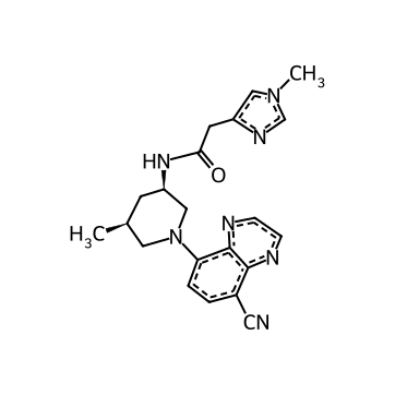 C[C@H]1C[C@@H](NC(=O)Cc2cn(C)cn2)CN(c2ccc(C#N)c3nccnc23)C1